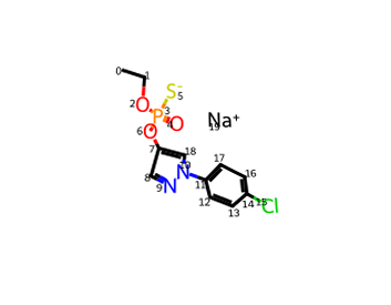 CCOP(=O)([S-])Oc1cnn(-c2ccc(Cl)cc2)c1.[Na+]